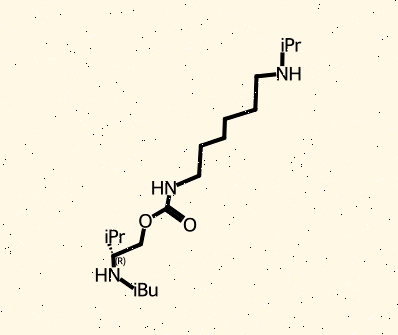 CCC(C)N[C@@H](COC(=O)NCCCCCCNC(C)C)C(C)C